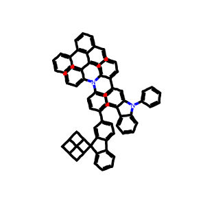 c1ccc(-c2cccc3cccc(-c4ccccc4N(c4ccc(-c5ccc6c(c5)C5(c7ccccc7-6)C6CC7CC8CC5C786)cc4)c4ccccc4-c4ccc5c6ccccc6n(-c6ccccc6)c5c4)c23)cc1